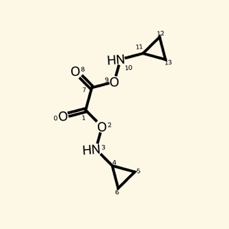 O=C(ONC1CC1)C(=O)ONC1CC1